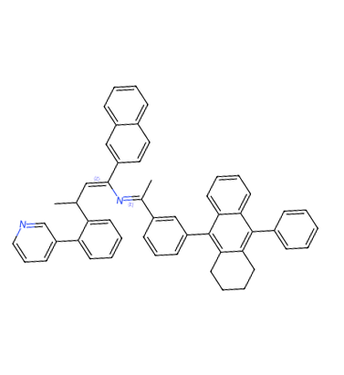 C/C(=N\C(=C/C(C)c1ccccc1-c1cccnc1)c1ccc2ccccc2c1)c1cccc(-c2c3c(c(-c4ccccc4)c4ccccc24)CCCC3)c1